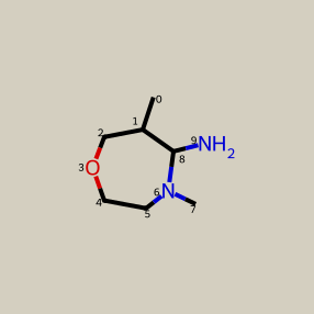 CC1COCCN(C)C1N